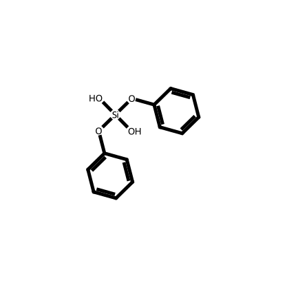 O[Si](O)(Oc1ccccc1)Oc1ccccc1